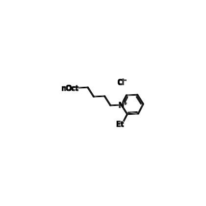 CCCCCCCCCCCC[n+]1ccccc1CC.[Cl-]